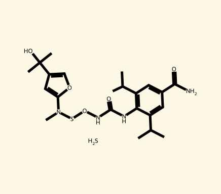 CC(C)c1cc(C(N)=O)cc(C(C)C)c1NC(=O)NOSN(C)c1cc(C(C)(C)O)co1.S